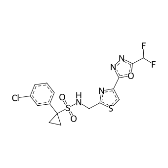 O=S(=O)(NCc1nc(-c2nnc(C(F)F)o2)cs1)C1(c2cccc(Cl)c2)CC1